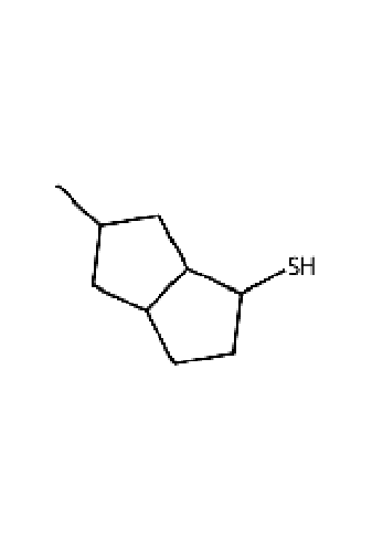 CC1CC2CCC(S)C2C1